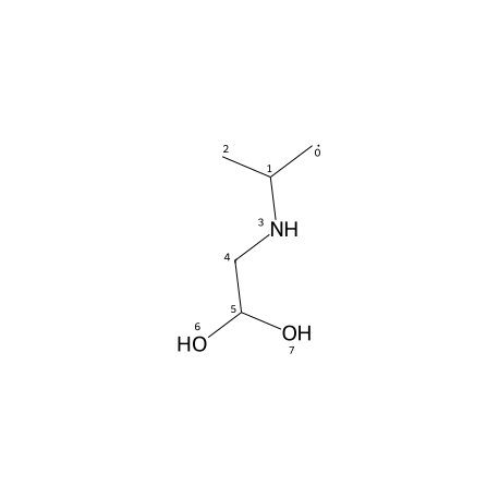 [CH2]C(C)NCC(O)O